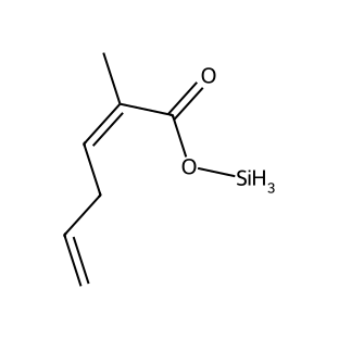 C=CCC=C(C)C(=O)O[SiH3]